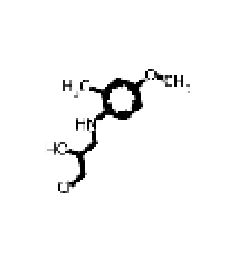 COc1ccc(NCC(O)CCl)c(C)c1